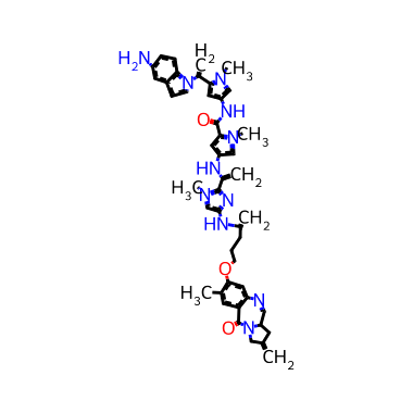 C=C1CC2C=Nc3cc(OCCCC(=C)Nc4cn(C)c(C(=C)Nc5cc(C(=O)Nc6cc(C(=C)n7ccc8cc(N)ccc87)n(C)c6)n(C)c5)n4)c(C)cc3C(=O)N2C1